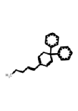 CCCC=CC1=CCC(c2ccccc2)(c2ccccc2)C=C1